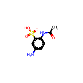 CC(=O)Nc1ccc(N)cc1S(=O)(=O)O